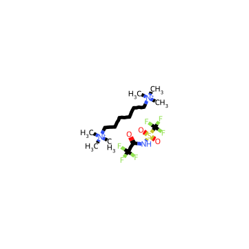 C[N+](C)(C)CCCCCC[N+](C)(C)C.O=C(NS(=O)(=O)C(F)(F)F)C(F)(F)F